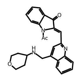 CC(=O)N1/C(=C\c2cc(CNC3CCOCC3)c3ccccc3n2)C(=O)c2ccccc21